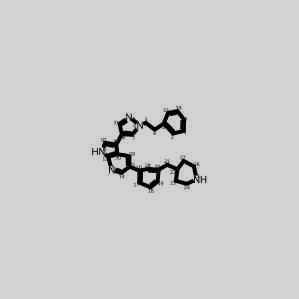 c1ccc(CCn2cc(-c3c[nH]c4ncc(-c5cccc(CC6CCNCC6)c5)cc34)cn2)cc1